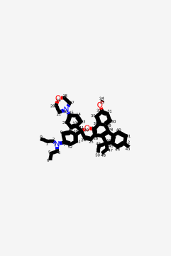 CCCN(CCC)c1ccc(C2(c3ccc(N4CCOCC4)cc3)C=Cc3c4c(c5ccc(OC)cc5c3O2)-c2ccc(C)cc2C4(CC)CC)cc1